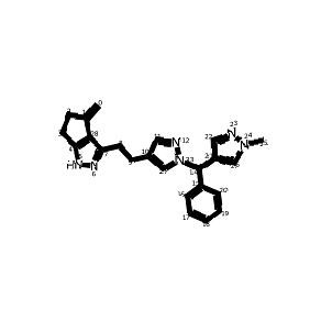 C=C1CCc2[nH]nc(CCc3cnn(C(c4ccccc4)c4cnn(C)c4)c3)c21